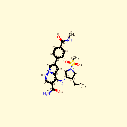 CC[C@@H]1CN(S(C)(=O)=O)C[C@H]1Nc1c(C(N)=O)cnn2cc(-c3ccc(C(=O)NC)cc3)cc12